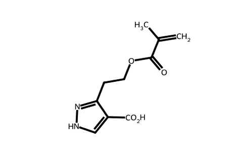 C=C(C)C(=O)OCCc1n[nH]cc1C(=O)O